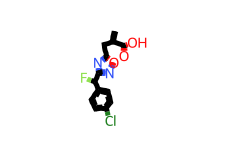 C=C(Cc1nc(C(F)c2ccc(Cl)cc2)no1)C(=O)O